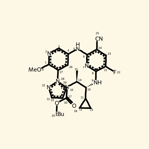 COc1ncc(Nc2nc(N[C@H](C3CC3)[C@H](C)NC(=O)OC(C)(C)C)c(F)cc2C#N)cc1-n1cccn1